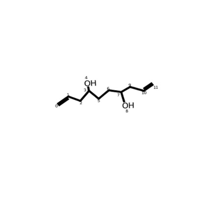 C=CCC(O)CCC(O)CC=C